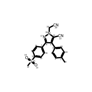 Cc1ccc(-c2c(-c3ccc(S(C)(=O)=O)cc3)nn(CC#N)c2C#N)cc1